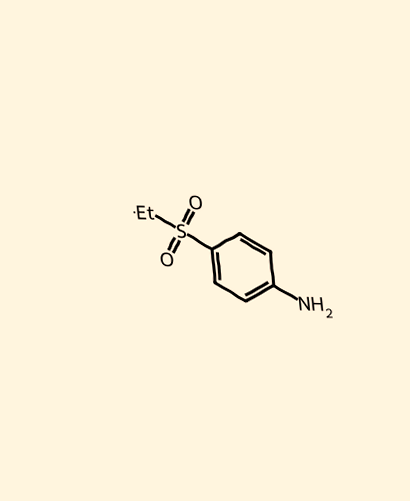 C[CH]S(=O)(=O)c1ccc(N)cc1